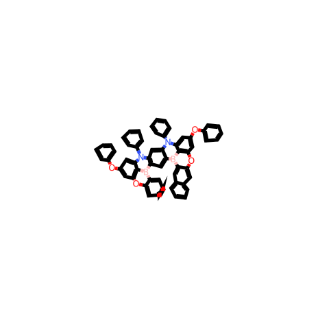 c1ccc(Oc2cc3c4c(c2)N(c2ccccc2)c2cc5c(cc2B4c2cc4ccccc4cc2O3)B2c3cc4ccccc4cc3Oc3cc(Oc4ccccc4)cc(c32)N5c2ccccc2)cc1